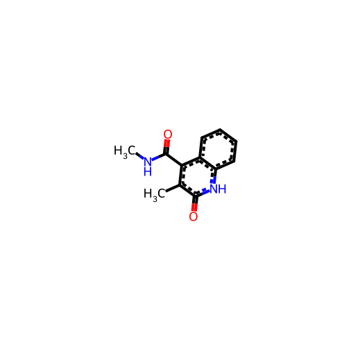 CNC(=O)c1c(C)c(=O)[nH]c2ccccc12